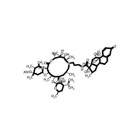 CC[C@H]1OC(=O)[C@H](C)[C@@H](O[C@@H]2C[C@](C)(OC)[C@H](C)C(C)O2)[C@H](C)[C@@H](O[C@@H]2O[C@H](C)C[C@@H](N(C)C)[C@H]2O)[C@](C)(O)C[C@@H](C)CN(CCCNC(=O)[C@@]2(O)[C@@H](C)CC3C4CCC5=CC(=O)C=C[C@]5(C)[C@@]4(Cl)[C@@H](O)C[C@@]32C)[C@H](C)[C@@H](O)[C@]1(C)O